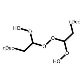 CCCCCCCCCCCC(OO)OOC(CCCCCCCCCCC)OO